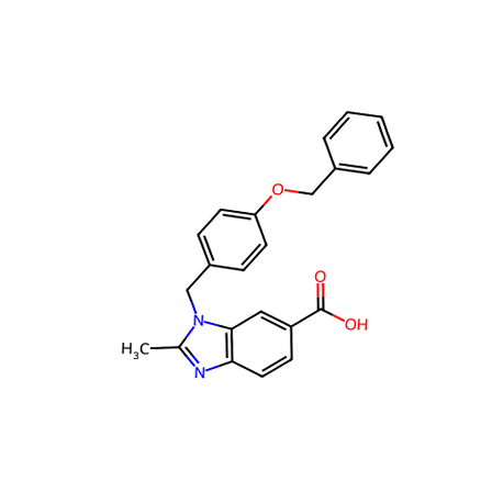 Cc1nc2ccc(C(=O)O)cc2n1Cc1ccc(OCc2ccccc2)cc1